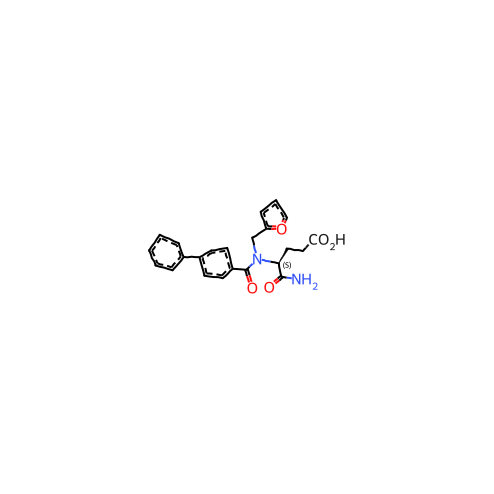 NC(=O)[C@H](CCC(=O)O)N(Cc1ccco1)C(=O)c1ccc(-c2ccccc2)cc1